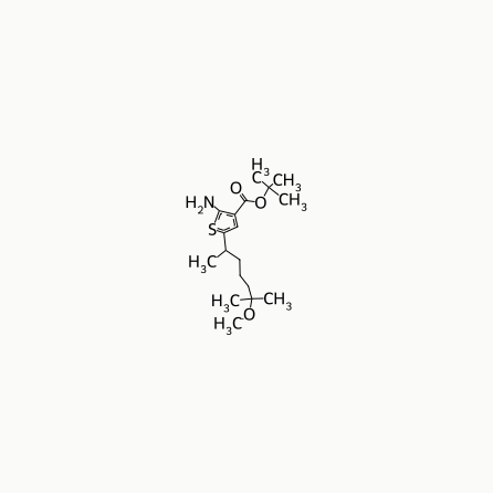 COC(C)(C)CCCC(C)c1cc(C(=O)OC(C)(C)C)c(N)s1